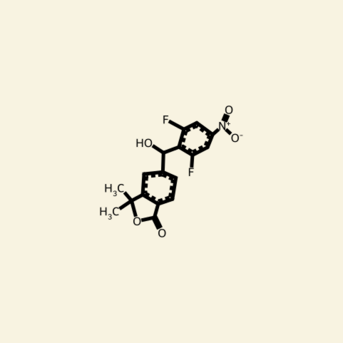 CC1(C)OC(=O)c2ccc(C(O)c3c(F)cc([N+](=O)[O-])cc3F)cc21